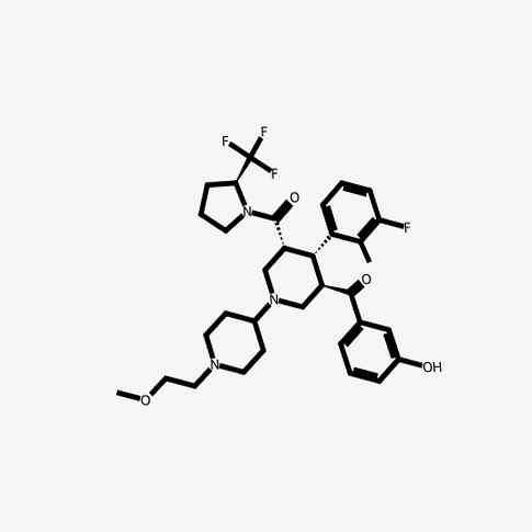 COCCN1CCC(N2C[C@H](C(=O)c3cccc(O)c3)[C@@H](c3cccc(F)c3C)[C@@H](C(=O)N3CCC[C@H]3C(F)(F)F)C2)CC1